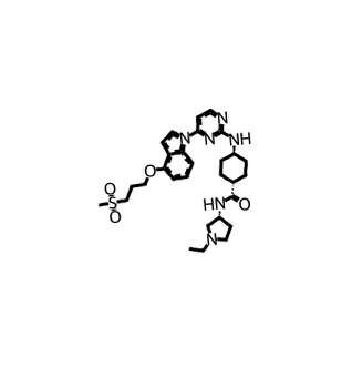 CCN1CC[C@@H](NC(=O)[C@H]2CC[C@H](Nc3nccc(-n4ccc5c(OCCCS(C)(=O)=O)cccc54)n3)CC2)C1